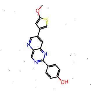 COc1cc(-c2cnc3cnc(-c4ccc(O)cc4)nc3c2)cs1